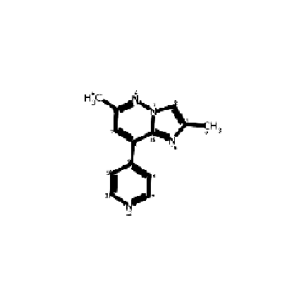 Cc1cn2nc(C)cc(-c3ccncc3)c2n1